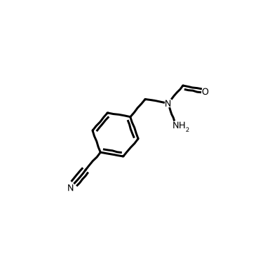 N#Cc1ccc(CN(N)C=O)cc1